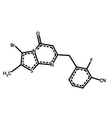 Cc1sc2nc(Cc3cccc(C#N)c3F)cc(=O)n2c1Br